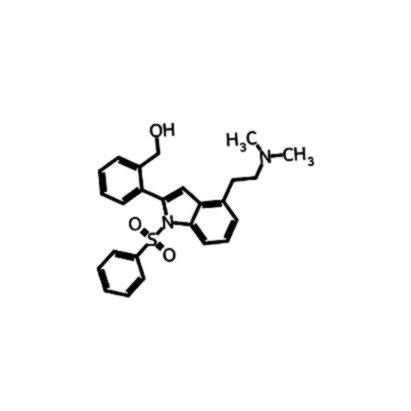 CN(C)CCc1cccc2c1cc(-c1ccccc1CO)n2S(=O)(=O)c1ccccc1